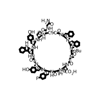 CCCC[C@H]1C(=O)N(C)CC(=O)N[C@@H](CC(=O)O)C(=O)N[C@@H](C(C)C)C(=O)N[C@@H](Cc2ccc(F)cc2)C(=O)N[C@@H](Cc2ccc(O)cc2)C(=O)N(C)CC(=O)N[C@@H](Cc2c[nH]c3ccccc23)C(=O)N[C@@H](Cc2ccc(O)cc2)C(=O)N[C@@H](CC(C)C)C(=O)N[C@H](C(=O)NCC(N)=O)CSCC(=O)N[C@@H](Cc2ccccc2)C(=O)N(C)[C@@H](Cc2ccccc2)C(=O)N1C